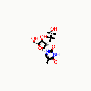 Cc1cn([C@@H]2O[C@H](CO)C(O)[C@@H]2CC(C)(C)[Si](C)(C)O)c(=O)[nH]c1=O